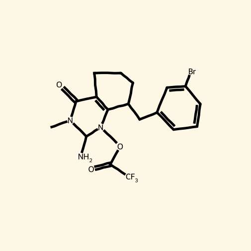 CN1C(=O)C2=C(C(Cc3cccc(Br)c3)CCC2)N(OC(=O)C(F)(F)F)C1N